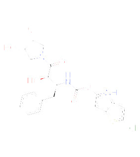 O=C(N[C@@H](Cc1ccccc1)[C@@H](O)C(=O)N1C[C@@H](O)[C@@H](O)C1)Oc1cc2sc(Cl)cc2[nH]1